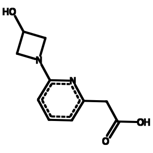 O=C(O)Cc1cccc(N2CC(O)C2)n1